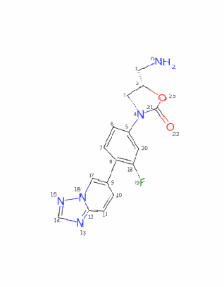 NC[C@H]1CN(c2ccc(-c3ccc4ncnn4c3)c(F)c2)C(=O)O1